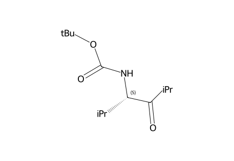 CC(C)C(=O)[C@@H](NC(=O)OC(C)(C)C)C(C)C